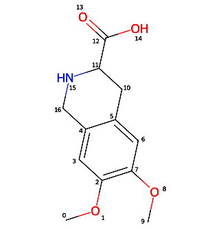 COc1cc2c(cc1OC)CC(C(=O)O)NC2